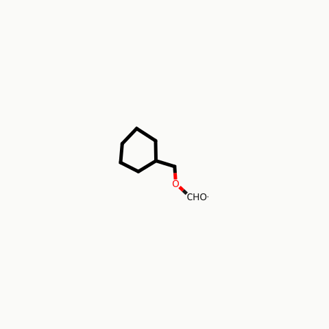 O=[C]OCC1CCCCC1